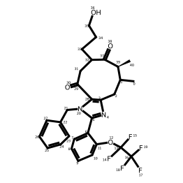 CC1Cc2nc(-c3ccccc3OC(F)(F)C(F)(F)F)n(Cc3ccccc3)c2C(=O)CC(CCCO)C(=O)[C@H]1C